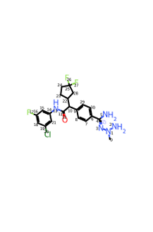 CN(N)/N=C(\N)c1ccc(C(C(=O)Nc2cc(F)cc(Cl)c2)C2CCC(F)(F)C2)cc1